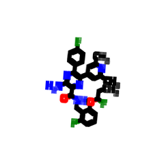 CCC(F)Oc1cccc(F)c1CNC(=O)c1nc(-c2cc(C)nc(C)c2)c(-c2ccc(F)cc2)nc1N